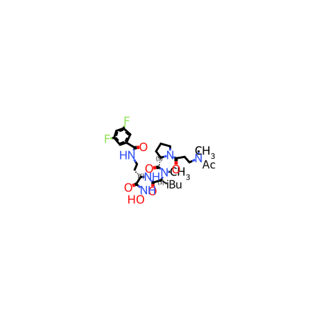 CCC(C)[C@@H](C(=O)N[C@@H](CCNC(=O)c1cc(F)cc(F)c1)C(=O)NO)N(C)C(=O)[C@@H]1CCCN1C(=O)CCN(C)C(C)=O